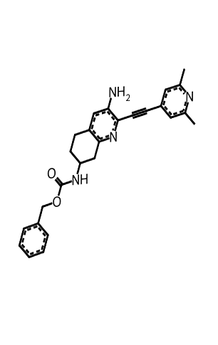 Cc1cc(C#Cc2nc3c(cc2N)CCC(NC(=O)OCc2ccccc2)C3)cc(C)n1